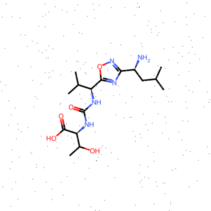 CC(C)C[C@H](N)c1noc([C@@H](NC(=O)N[C@H](C(=O)O)C(C)O)C(C)C)n1